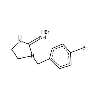 Br.N=C1NCCN1Cc1ccc(Br)cc1